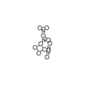 c1ccc(-n2ccn(-c3ccccc3)c3cc4c5cc(-n6c7ccccc7c7cc(-n8c9ccccc9c9ccccc98)ccc76)ccc5c5ccccc5c5ccccc5c4cc32)cc1